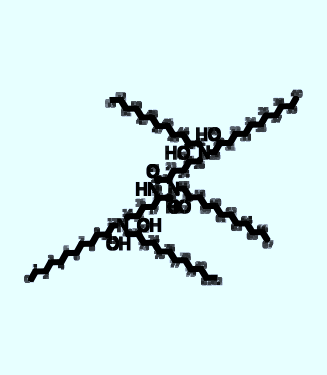 CCCCCCCCCCC(O)CN(CCCCC1NC(=O)C(CCCCN(CC(O)CCCCCCCCCC)CC(O)CCCCCCCCCC)N(CC(O)CCCCCCCCCC)C1=O)CC(O)CCCCCCCCCC